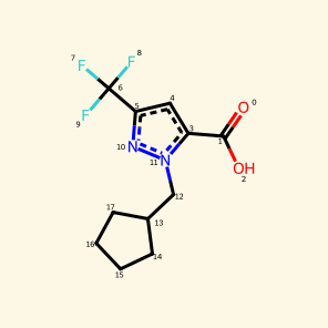 O=C(O)c1cc(C(F)(F)F)nn1CC1CCCC1